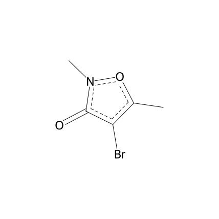 Cc1on(C)c(=O)c1Br